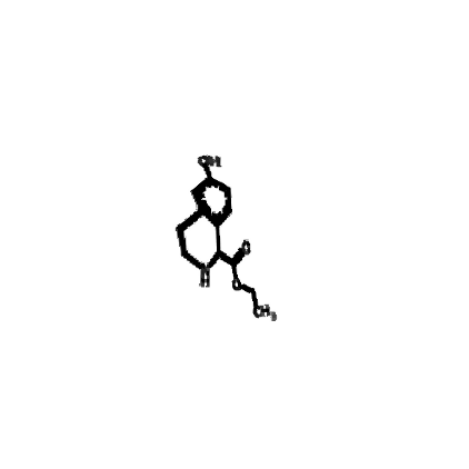 CCOC(=O)C1NCCc2cc(O)ccc21